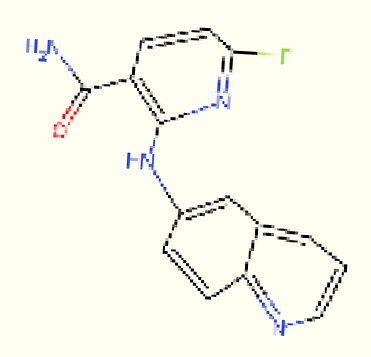 NC(=O)c1ccc(F)nc1Nc1ccc2ncccc2c1